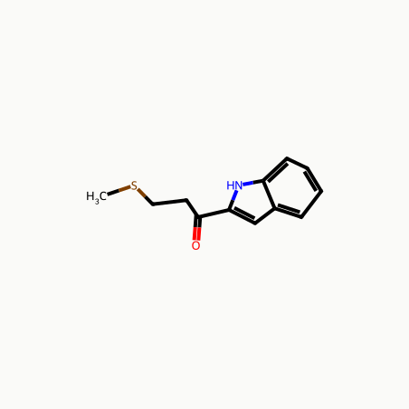 CSCCC(=O)c1cc2ccccc2[nH]1